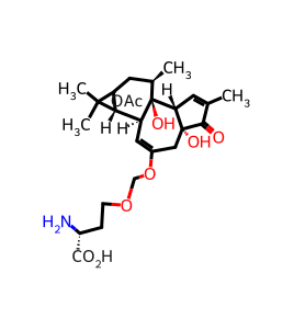 CC(=O)O[C@@]12C[C@@H](C)[C@@]3(O)[C@@H](C=C(OCOCC[C@@H](N)C(=O)O)C[C@]4(O)C(=O)C(C)=C[C@@H]34)[C@@H]1C2(C)C